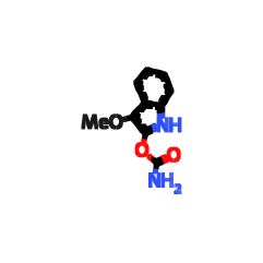 COc1c(OC(N)=O)[nH]c2ccccc12